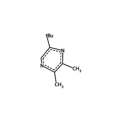 Cc1ncc(C(C)(C)C)nc1C